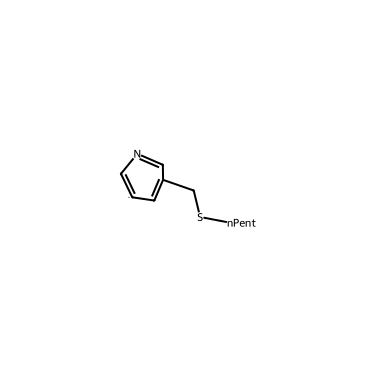 CCCCCSCc1c[c]cnc1